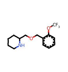 FC(F)(F)Oc1ccccc1COCC1[CH]CCCN1